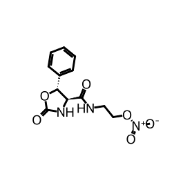 O=C1N[C@H](C(=O)NCCO[N+](=O)[O-])[C@@H](c2ccccc2)O1